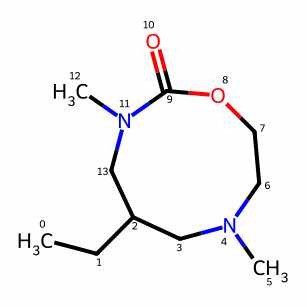 CCC1CN(C)CCOC(=O)N(C)C1